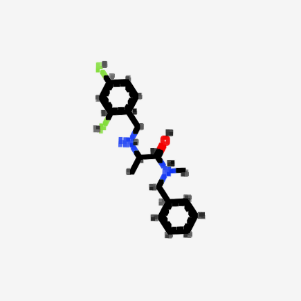 CC(NCc1ccc(F)cc1F)C(=O)N(C)Cc1ccccc1